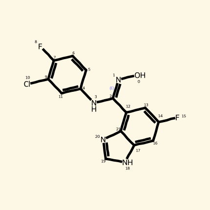 O/N=C(/Nc1ccc(F)c(Cl)c1)c1cc(F)cc2[nH]cnc12